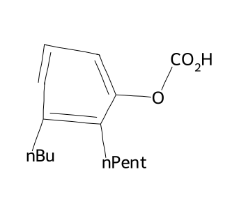 CCCCCc1c(CCCC)cccc1OC(=O)O